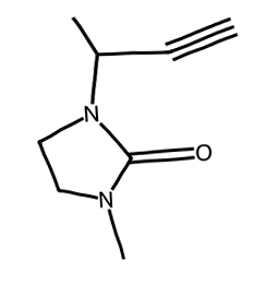 C#CC(C)N1CCN(C)C1=O